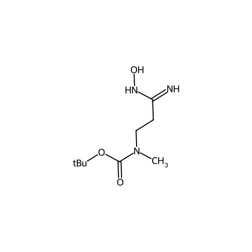 CN(CCC(=N)NO)C(=O)OC(C)(C)C